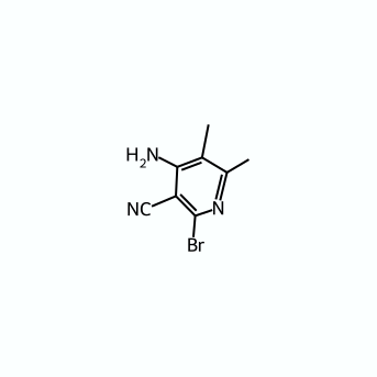 Cc1nc(Br)c(C#N)c(N)c1C